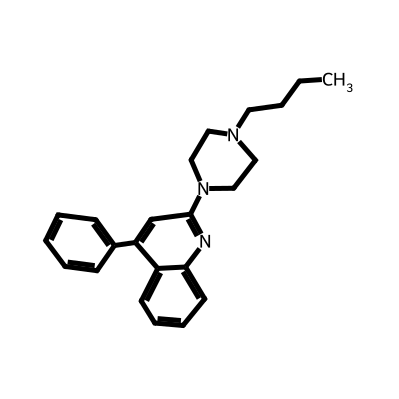 CCCCN1CCN(c2cc(-c3ccccc3)c3ccccc3n2)CC1